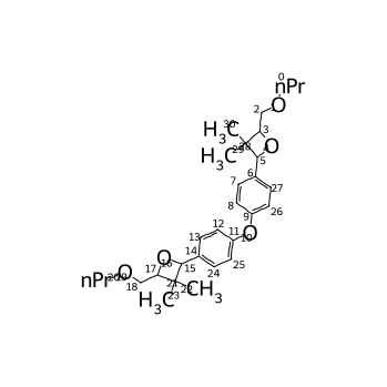 CCCOCC1OC(c2ccc(Oc3ccc(C4OC(COCCC)C4(C)C)cc3)cc2)C1(C)C